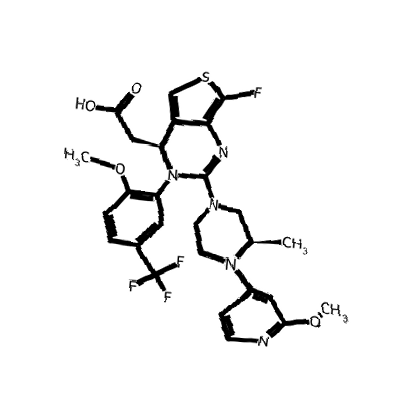 COc1cc(N2CCN(C3=Nc4c(csc4F)[C@H](CC(=O)O)N3c3cc(C(F)(F)F)ccc3OC)C[C@H]2C)ccn1